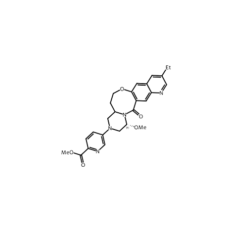 CCc1cnc2cc3c(cc2c1)OCCC1CN(c2ccc(C(=O)OC)nc2)C[C@@H](OC)N1C3=O